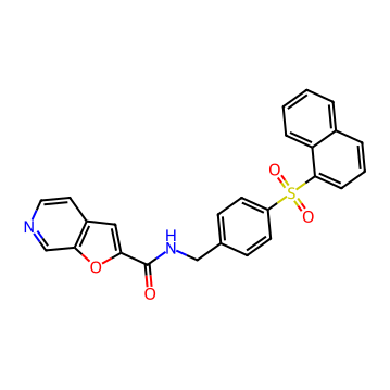 O=C(NCc1ccc(S(=O)(=O)c2cccc3ccccc23)cc1)c1cc2ccncc2o1